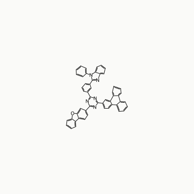 c1ccc(-n2c(-c3cccc(-c4nc(-c5ccc6c(c5)oc5ccccc56)nc(-c5ccc6c7ccccc7c7ccccc7c6c5)n4)c3)nc3ccccc32)cc1